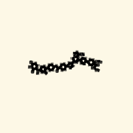 COC1(C(=O)NC(C)C)CCN(c2ccc(-c3cc(-c4cnn(C5CCN(C(=O)CN6CCC(c7ccc(NC8CCC(=O)NC8=O)cc7F)CC6)CC5)c4)cn4ncc(C#N)c34)cn2)CC1